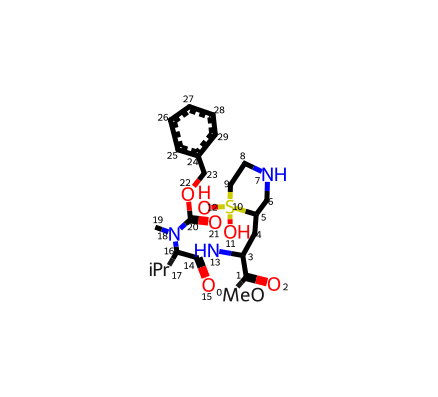 COC(=O)C(CC1CNCCS1(O)O)NC(=O)C(C(C)C)N(C)C(=O)OCc1ccccc1